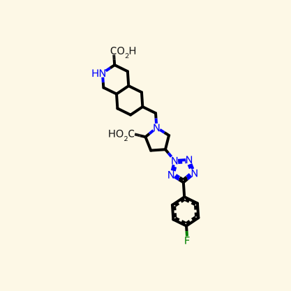 O=C(O)C1CC2CC(CN3CC(n4nnc(-c5ccc(F)cc5)n4)CC3C(=O)O)CCC2CN1